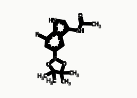 CC(=O)Nc1c[nH]c2c(F)cc(B3OC(C)(C)C(C)(C)O3)cc12